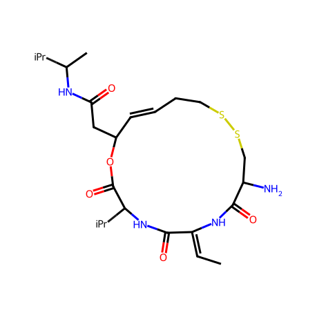 C/C=C1\NC(=O)C(N)CSSCC/C=C/C(CC(=O)NC(C)C(C)C)OC(=O)C(C(C)C)NC1=O